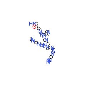 Cc1ccn(-c2ccc(N3CCn4c(Cc5ccc(-c6nc(C)n7c6CN(c6ccc(-n8ccnn8)cc6)CC7)c(C(C)C)n5)nc(-c5cc(Cc6nc(-c7cccnc7C(C)C)c7n6CCN(c6ccc(C8CCCNC8=O)cc6)C7)cnc5C(C)C)c4C3)cc2)n1